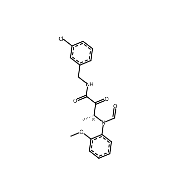 COc1ccccc1N(C=O)[C@H](C)C(=O)C(=O)NCc1cccc(Cl)c1